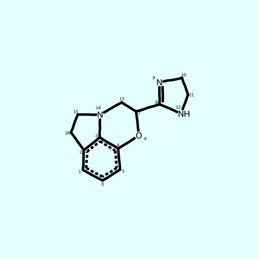 c1cc2c3c(c1)OC(C1=NCCN1)CN3CC2